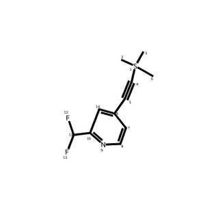 CS(C)(C)C#Cc1ccnc(C(F)F)c1